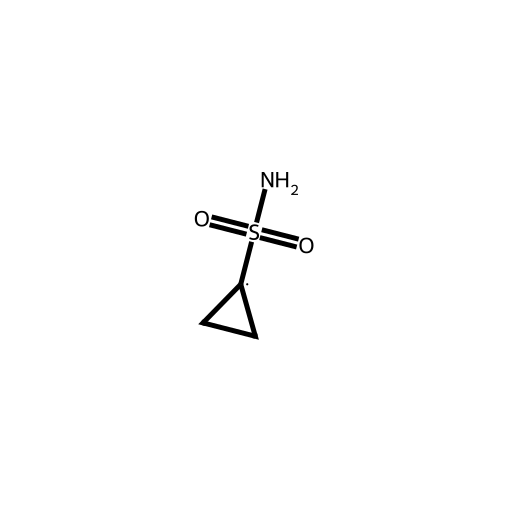 NS(=O)(=O)[C]1CC1